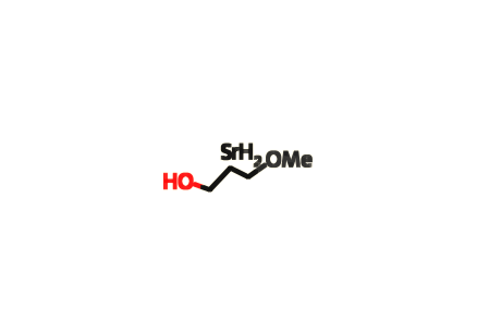 COCCCO.[SrH2]